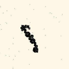 Cc1ncsc1CCN1CCN(C(=O)Oc2ccc(CCOc3cccnc3)cc2)CC1